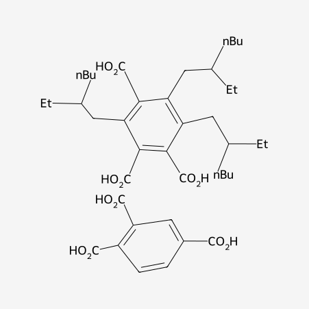 CCCCC(CC)Cc1c(CC(CC)CCCC)c(C(=O)O)c(C(=O)O)c(CC(CC)CCCC)c1C(=O)O.O=C(O)c1ccc(C(=O)O)c(C(=O)O)c1